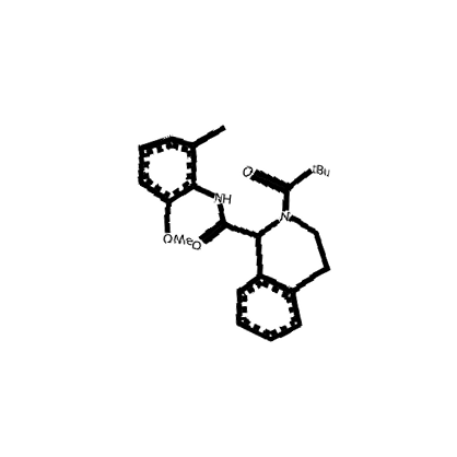 COc1cccc(C)c1NC(=O)C1c2ccccc2CCN1C(=O)C(C)(C)C